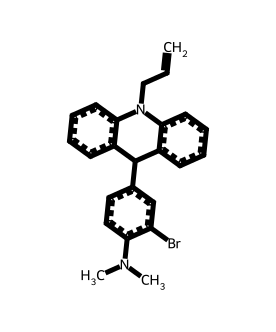 C=CCN1c2ccccc2C(c2ccc(N(C)C)c(Br)c2)c2ccccc21